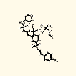 CC(C)(C)OC=O.O=S(=O)(CC=Cc1cc(S(=O)(=O)CC=Cc2ccc(F)cc2)ccc1C(F)(F)F)NC1CCNCC1